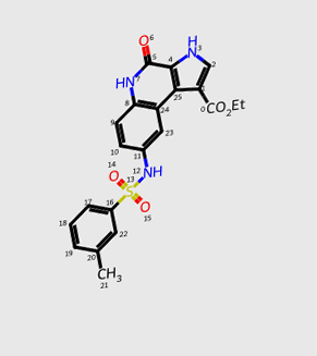 CCOC(=O)c1c[nH]c2c(=O)[nH]c3ccc(NS(=O)(=O)c4cccc(C)c4)cc3c12